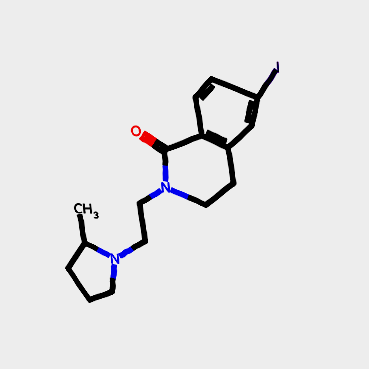 CC1CCCN1CCN1CCc2cc(I)ccc2C1=O